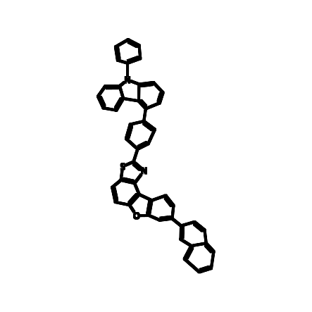 c1ccc(-n2c3ccccc3c3c(-c4ccc(-c5nc6c(ccc7oc8cc(-c9ccc%10ccccc%10c9)ccc8c76)s5)cc4)cccc32)cc1